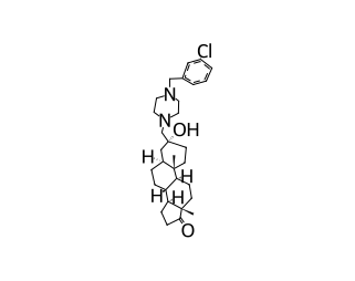 C[C@]12CC[C@](O)(CN3CCN(Cc4cccc(Cl)c4)CC3)C[C@@H]1CC[C@@H]1[C@@H]2CC[C@]2(C)C(=O)CC[C@@H]12